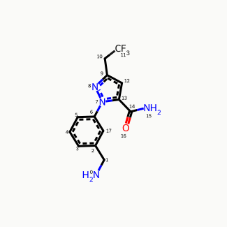 NCc1cccc(-n2nc(CC(F)(F)F)cc2C(N)=O)c1